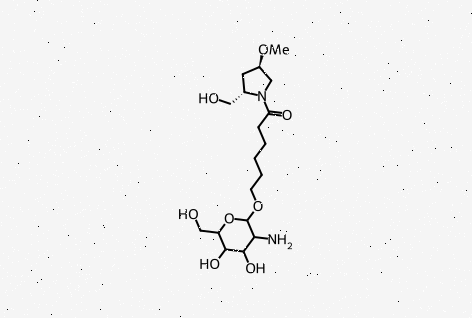 CO[C@@H]1C[C@@H](CO)N(C(=O)CCCCCOC2OC(CO)C(O)C(O)C2N)C1